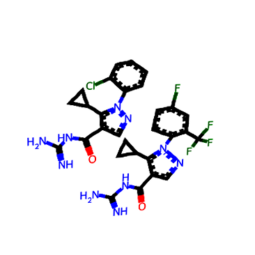 N=C(N)NC(=O)c1cnn(-c2ccc(F)cc2C(F)(F)F)c1C1CC1.N=C(N)NC(=O)c1cnn(-c2ccccc2Cl)c1C1CC1